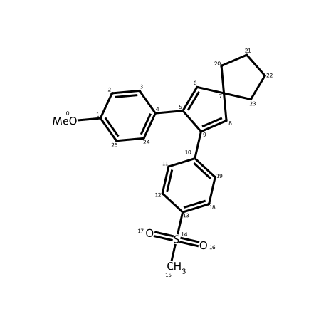 COc1ccc(C2=CC3(C=C2c2ccc(S(C)(=O)=O)cc2)CCCC3)cc1